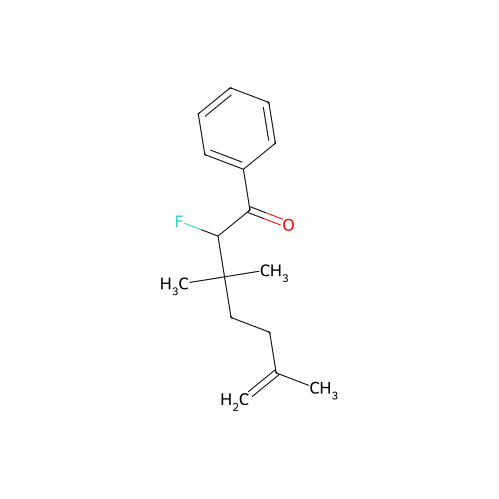 C=C(C)CCC(C)(C)C(F)C(=O)c1ccccc1